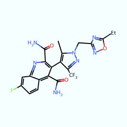 CCc1nc(Cn2nc(C(F)(F)F)c(-c3c(C(N)=O)nc4cc(F)ccc4c3C(N)=O)c2C)no1